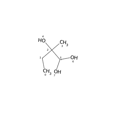 CCC(C)(O)[C](O)O